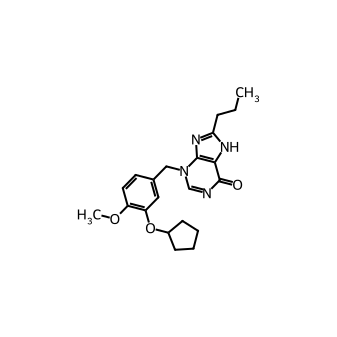 CCCc1nc2c([nH]1)c(=O)ncn2Cc1ccc(OC)c(OC2CCCC2)c1